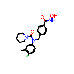 Cc1cc(N(Cc2ccc(C(=O)NO)cc2)C(=O)N2CCCCC2)ccc1F